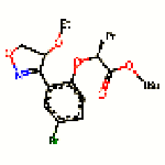 CCOC1CON=C1c1cc(Br)ccc1O[C@H](C(=O)OC(C)(C)C)C(C)C